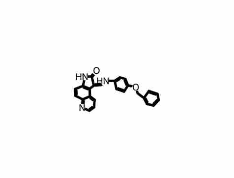 O=C1Nc2ccc3ncccc3c2C1=CNc1ccc(OCc2ccccc2)cc1